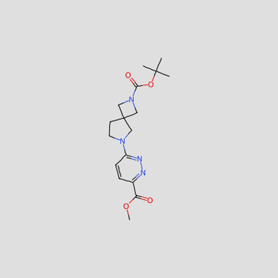 COC(=O)c1ccc(N2CCC3(CN(C(=O)OC(C)(C)C)C3)C2)nn1